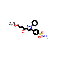 NS(=O)(=O)c1ccc(-c2cc(C(=O)CCCO[N+](=O)[O-])nn2C2CCCCC2)cc1